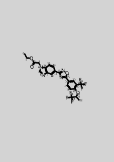 CCOC(=O)Cn1cnc2cc(-c3noc(-c4ccc(OC(C)C(F)(F)F)c(C(F)(F)F)c4)n3)ccc21